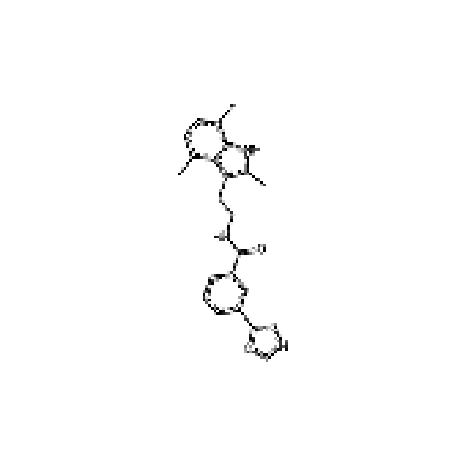 Cc1[nH]c2c(F)ccc(C)c2c1CCNC(=O)c1cccc(-c2cnco2)c1